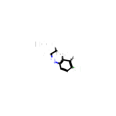 CCc1c(Cl)ccc(N[C@H](C)CC(=O)O)c1[N+](=O)[O-]